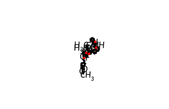 CCOC(=O)CN1CCC(CCCOc2cccc(-c3ccc(N4CCc5cccc(C(=O)Nc6nc7ccccc7s6)c5C4)nc3C(=O)OC(C)(C)C)c2C(F)(F)F)CC1